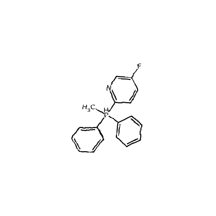 C[PH](c1ccccc1)(c1ccccc1)c1ccc(F)cn1